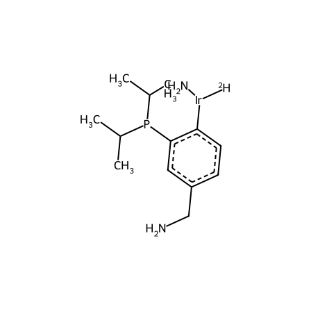 [2H][Ir]([NH2])[c]1ccc(CN)cc1P(C(C)C)C(C)C